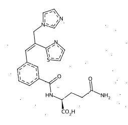 NC(=O)CC[C@H](NC(=O)c1cccc(C=C(Cn2ccnc2)c2nccs2)c1)C(=O)O